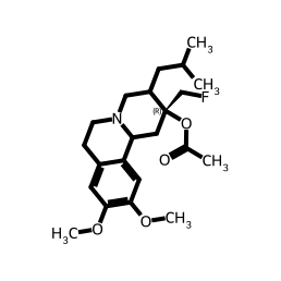 COc1cc2c(cc1OC)C1C[C@@](CF)(OC(C)=O)C(CC(C)C)CN1CC2